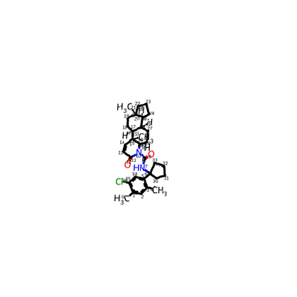 Cc1cc(C)c(C2(NC(=O)N3C(=O)C=C[C@]4(C)[C@H]5CC[C@]6(C)CCC[C@H]6[C@@H]5CC[C@@H]34)CCCC2)cc1Cl